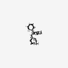 C1CCC(OCC2CCNCC2)CC1.Cl.Cl.Cl